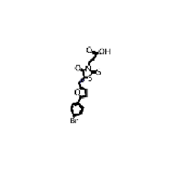 O=C(O)CCN1C(=O)/C(=C/c2ccc(-c3ccc(Br)cc3)o2)SC1=S